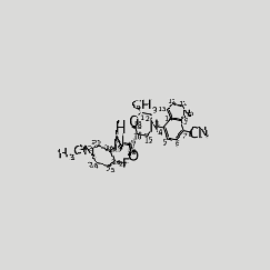 C[C@@H]1CN(c2ccc(C#N)c3ncccc23)C[C@H](C(=O)NC2CN(C)CCC2F)O1